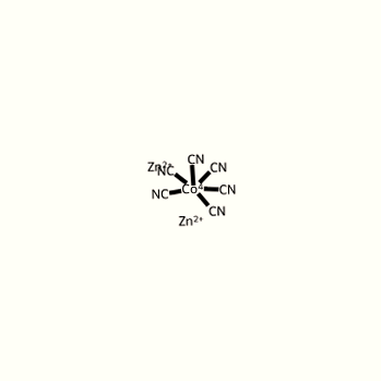 N#[C][Co-4]([C]#N)([C]#N)([C]#N)([C]#N)[C]#N.[Zn+2].[Zn+2]